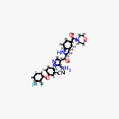 N#Cc1cc(Oc2cccc(F)c2F)ccc1-n1ncc(C(=O)c2cc3cc(C(=O)N4CCOCC4)ccc3[nH]2)c1N